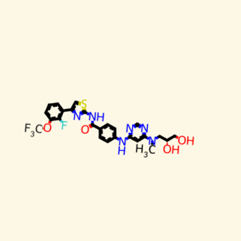 CN(C[C@@H](O)CO)c1cc(Nc2ccc(C(=O)Nc3nc(-c4cccc(OC(F)(F)F)c4F)cs3)cc2)ncn1